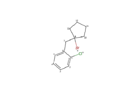 Clc1ccccc1CC1(Br)CCCC1